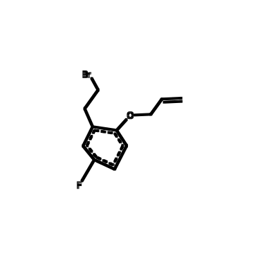 C=CCOc1ccc(F)cc1CCBr